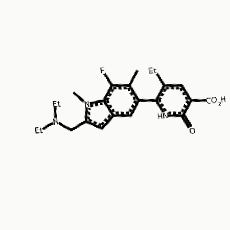 CCc1cc(C(=O)O)c(=O)[nH]c1-c1cc2cc(CN(CC)CC)n(C)c2c(F)c1C